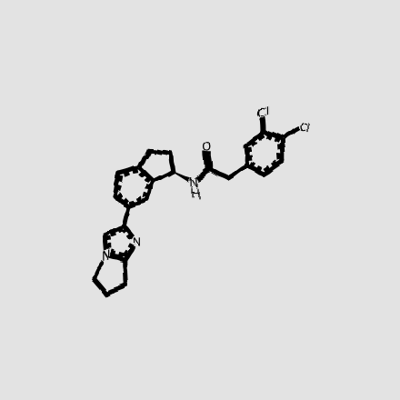 O=C(Cc1ccc(Cl)c(Cl)c1)N[C@@H]1CCc2ccc(-c3cn4c(n3)CCC4)cc21